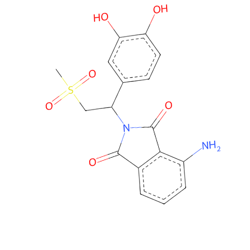 CS(=O)(=O)CC(c1ccc(O)c(O)c1)N1C(=O)c2cccc(N)c2C1=O